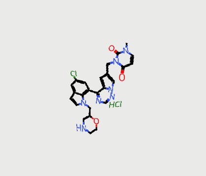 Cl.Cn1ccc(=O)n(Cc2cc3c(-c4cc(Cl)cc5ccn(CC6CNCCO6)c45)ncnn3c2)c1=O